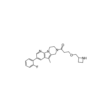 Cc1c2n(c3ncc(-c4ccccc4F)cc13)CCN(C(=O)CCOCC1CCN1)C2